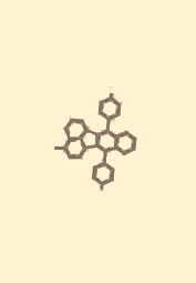 Cc1ccc2c3c(cccc13)-c1c-2c(-c2ccc(F)cc2)c2ccccc2c1-c1ccc(F)cc1